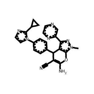 Cn1nc(-c2cnccn2)c2c1OC(N)=C(C#N)C2c1ccc(-n2ccnc2C2CC2)cc1